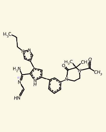 CCCn1cc(-c2cc(-c3cccc(N4CCN(C(C)=O)C(C)(C)C4=O)c3)[nH]c2/C(N)=N\C=N)cn1